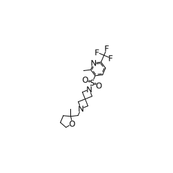 Cc1nc(C(F)(F)F)ccc1S(=O)(=O)N1CC2(CN(CC3(C)CCCO3)C2)C1